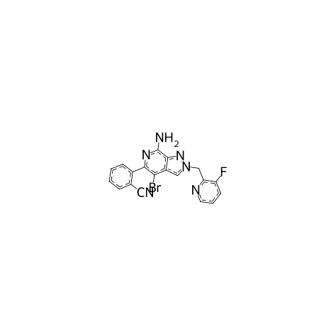 N#Cc1ccccc1-c1nc(N)c2nn(Cc3ncccc3F)cc2c1Br